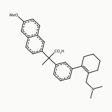 COc1ccc2cc(C(C)(C(=O)O)c3cccc(C4=C(CN(C)C)CCCC4)c3)ccc2c1